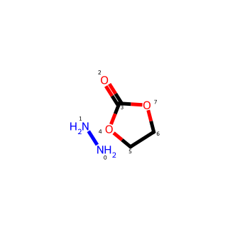 NN.O=C1OCCO1